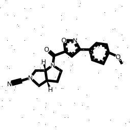 COc1ccc(-c2cc(C(=O)N3CC[C@@H]4CN(C#N)C[C@@H]43)on2)cc1